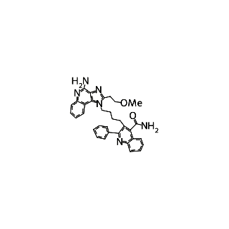 COCCc1nc2c(N)nc3ccccc3c2n1CCCCc1c(-c2ccccc2)nc2ccccc2c1C(N)=O